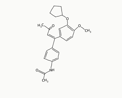 COc1ccc(/C(=C\C(C)=O)c2ccc(NC(C)=O)cc2)cc1OC1CCCC1